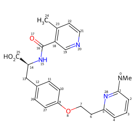 CNc1cccc(CCOc2ccc(C[C@H](NC(=O)c3cnccc3C)C(=O)O)cc2)n1